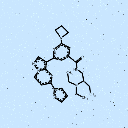 CCC(CNC(=O)c1cc(-c2cnn3ccc(-c4cccs4)nc23)nc(N2CCC2)c1)N(CC)CC